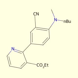 CCCCN(C)c1ccc(-c2ncccc2C(=O)OCC)cc1C#N